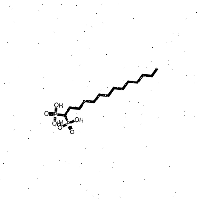 CCCCCCCCCCCCCC(P(=O)(O)O)P(=O)(O)O